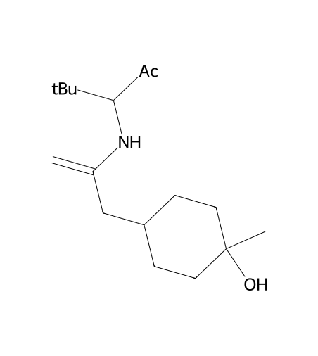 C=C(CC1CCC(C)(O)CC1)NC(C(C)=O)C(C)(C)C